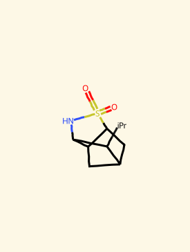 CC(C)C1C2CC3C1NS(=O)(=O)C3C2